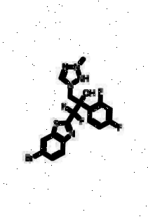 CN1N=CN(CC(O)(c2ccc(F)cc2F)C(F)(F)c2nc3ccc(Br)cc3s2)N1